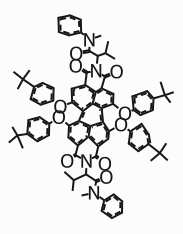 CC(C)C(C(=O)N(C)c1ccccc1)N1C(=O)c2cc(Oc3ccc(C(C)(C)C)cc3)c3c4c(Oc5ccc(C(C)(C)C)cc5)cc5c6c(cc(Oc7ccc(C(C)(C)C)cc7)c(c7c(Oc8ccc(C(C)(C)C)cc8)cc(c2c37)C1=O)c64)C(=O)N(C(C(=O)N(C)c1ccccc1)C(C)C)C5=O